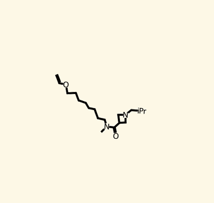 C=COCCCCCCCCN(C)C(=O)C1CN(CC(C)C)C1